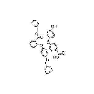 O=C(O)c1ccc(Oc2ccc(O)cc2)cc1.O=C(OCc1ccccc1)c1ccccc1Oc1ccc(OCc2ccccc2)cc1